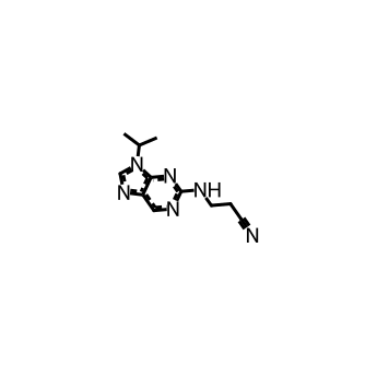 CC(C)n1cnc2cnc(NCCC#N)nc21